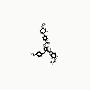 COc1ccc(Cn2nc(NC(=O)c3ccc(N4CCC(CO)CC4)nc3)cc2-c2nc3cc(OC)ccc3[nH]2)cc1